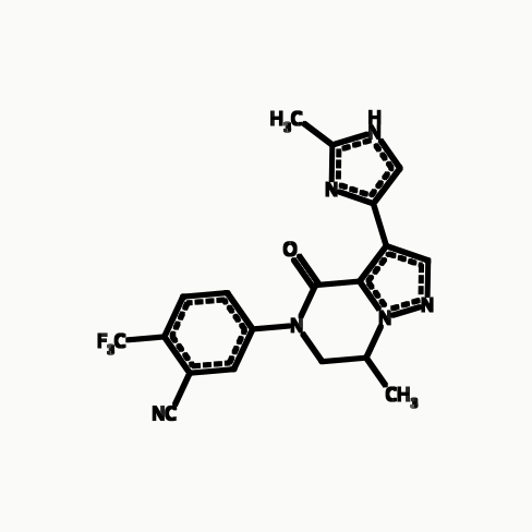 Cc1nc(-c2cnn3c2C(=O)N(c2ccc(C(F)(F)F)c(C#N)c2)CC3C)c[nH]1